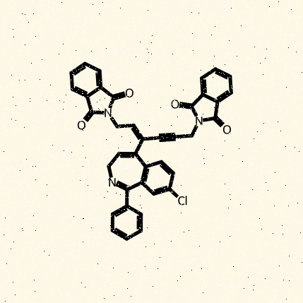 O=C1c2ccccc2C(=O)N1CC#C/C(=C/CN1C(=O)c2ccccc2C1=O)C1=CCN=C(c2ccccc2)c2cc(Cl)ccc21